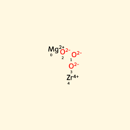 [Mg+2].[O-2].[O-2].[O-2].[Zr+4]